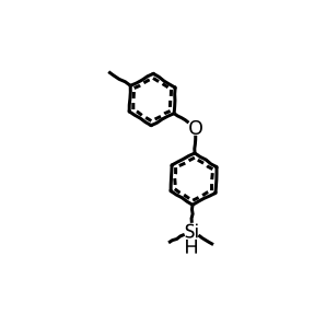 Cc1ccc(Oc2ccc([SiH](C)C)cc2)cc1